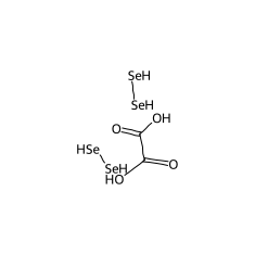 O=C(O)C(=O)O.[SeH][SeH].[SeH][SeH]